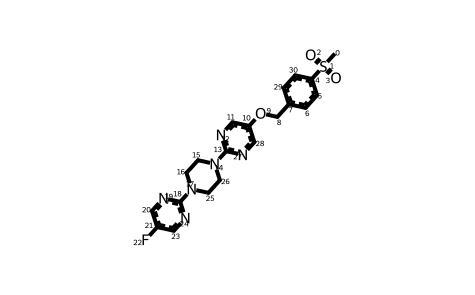 CS(=O)(=O)c1ccc(COc2cnc(N3CCN(c4ncc(F)cn4)CC3)nc2)cc1